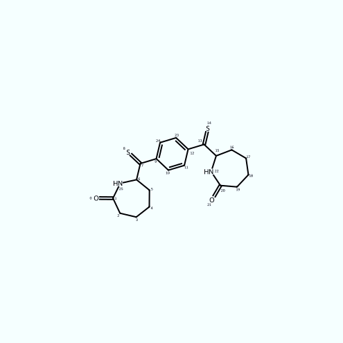 O=C1CCCCC(C(=S)c2ccc(C(=S)C3CCCCC(=O)N3)cc2)N1